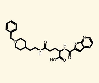 O=C(CCC(NC(=O)c1cc2cccnc2s1)C(=O)O)NCCC1CCN(Cc2ccccc2)CC1